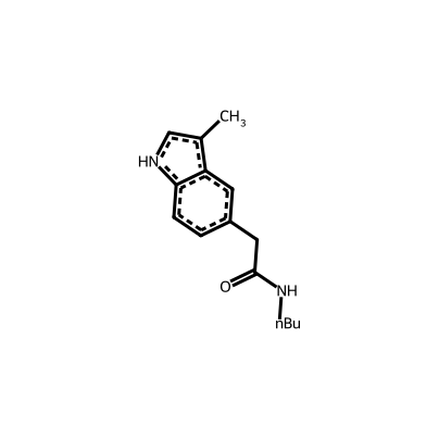 CCCCNC(=O)Cc1ccc2[nH]cc(C)c2c1